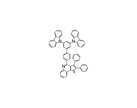 c1ccc(-c2sc3c(c(-c4ccc(-c5cc(-n6c7ccccc7c7ccccc76)cc(-n6c7ccccc7c7ccccc76)c5)cc4)nc4ccccc43)c2-c2ccccc2)cc1